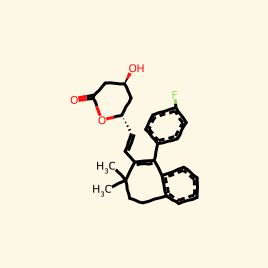 CC1(C)CCc2ccccc2C(c2ccc(F)cc2)=C1C=C[C@H]1C[C@H](O)CC(=O)O1